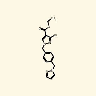 CCOC(=O)c1cn(Cc2ccc(Cn3cccn3)cc2)nc1Br